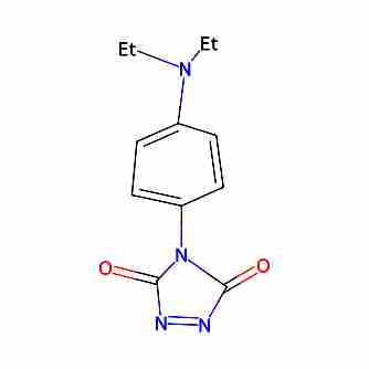 CCN(CC)c1ccc(N2C(=O)N=NC2=O)cc1